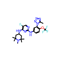 Cc1nnnn1-c1cc(Nc2ncc(F)c(NC3CC(C)(C)N(C)C(C)(C)C3)n2)ccc1OC(F)(F)F